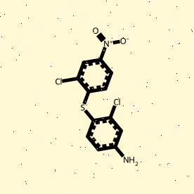 Nc1ccc(Sc2ccc([N+](=O)[O-])cc2Cl)c(Cl)c1